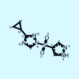 O=S(=O)(c1cn[nH]c1)n1cnc(C2CC2)n1